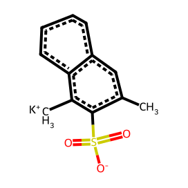 Cc1cc2ccccc2c(C)c1S(=O)(=O)[O-].[K+]